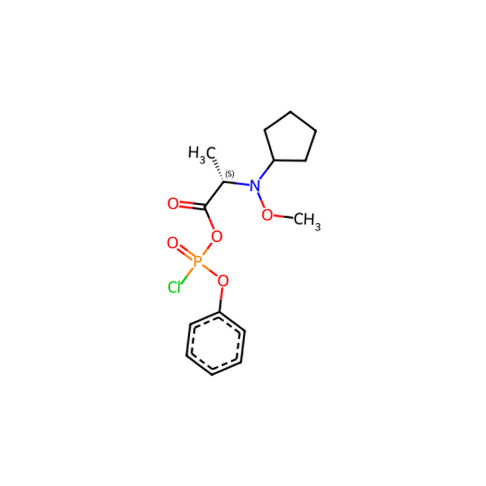 CON(C1CCCC1)[C@@H](C)C(=O)OP(=O)(Cl)Oc1ccccc1